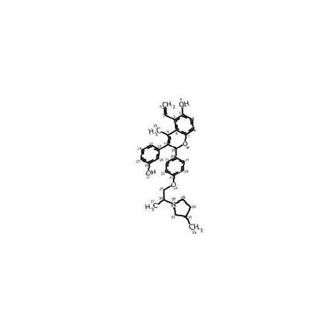 C=Cc1c(O)ccc2c1C(C)=C(c1cccc(O)c1)C(c1ccc(OCC(C)N3CCC(C)C3)cc1)O2